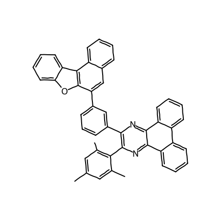 Cc1cc(C)c(-c2nc3c4ccccc4c4ccccc4c3nc2-c2cccc(-c3cc4ccccc4c4c3oc3ccccc34)c2)c(C)c1